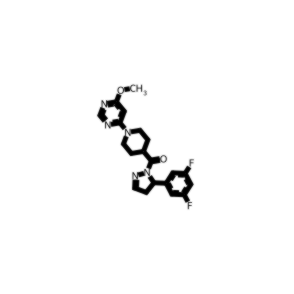 COc1cc(N2CCC(C(=O)N3N=CCC3c3cc(F)cc(F)c3)CC2)ncn1